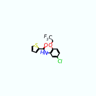 O=C(Nc1cc(Cl)ccc1OCC(F)(F)F)c1cccs1